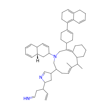 C=CC(CC=N)C1CC(C2C/C=C(\C)C(C)C3CCCC/C3=C(\C3CC=C(C4=C5C=CCCC5=CCC4)CC3)CN(C3C=CC4C=CC=C[C@H]4C3)C2)C=N1